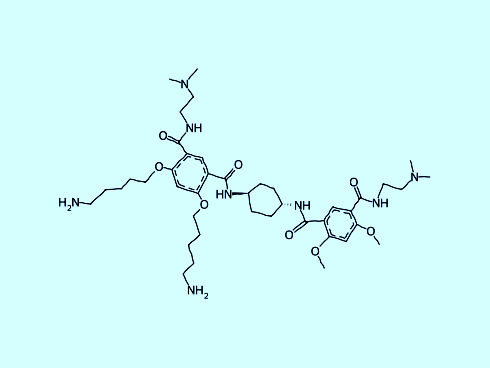 COc1cc(OC)c(C(=O)N[C@H]2CC[C@H](NC(=O)c3cc(C(=O)NCCN(C)C)c(OCCCCCN)cc3OCCCCCN)CC2)cc1C(=O)NCCN(C)C